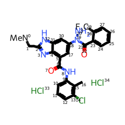 CNCc1nc2c(C(=O)Nc3cccc(Cl)c3C)cc(N(N)C(=O)c3ccccc3C(F)(F)F)cc2[nH]1.Cl.Cl